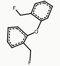 FCc1ccccc1Oc1ccccc1CF